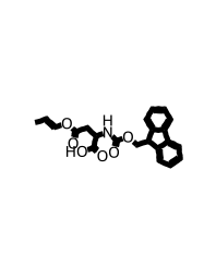 C/C=C/OC(=O)CC(NC(=O)OCC1c2ccccc2-c2ccccc21)C(=O)O